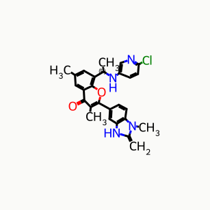 C=C1Nc2cc(-c3oc4c([C@@H](C)Nc5ccc(Cl)nc5)cc(C)cc4c(=O)c3C)ccc2N1C